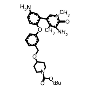 Cc1c(-c2cc(N)ccc2Oc2cccc(COC3CCN(C(=O)OC(C)(C)C)CC3)c2)cn(C)c(=O)c1N